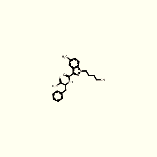 Cc1ccc2c(c1)c(C(=O)N[C@@H](Cc1ccccc1)C(N)=O)nn2CCCCC#N